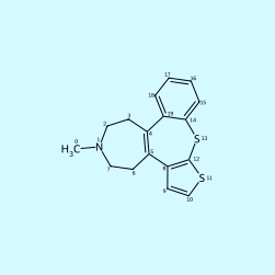 CN1CCC2=C(CC1)c1ccsc1Sc1ccccc12